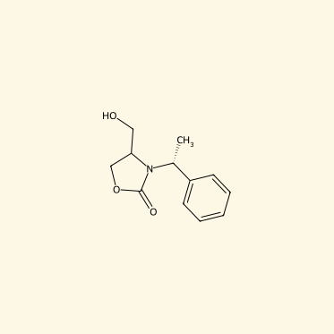 C[C@H](c1ccccc1)N1C(=O)OCC1CO